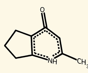 Cc1cc(=O)c2c([nH]1)CCC2